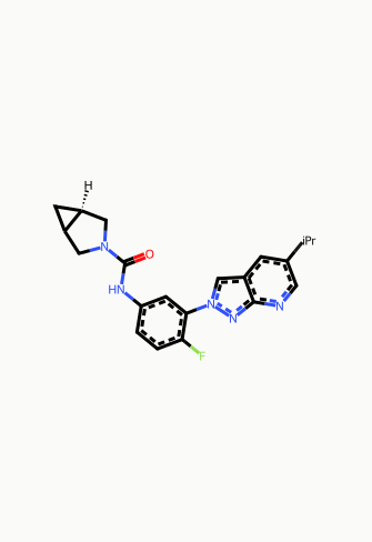 CC(C)c1cnc2nn(-c3cc(NC(=O)N4CC5C[C@H]5C4)ccc3F)cc2c1